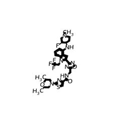 C[C@H]1CN(c2nc(C(=O)NCc3nc(-c4cc5c(N[C@@H]6CCN(C)C[C@@H]6F)cccc5n4CC(F)(F)F)no3)cs2)C[C@H](C)O1